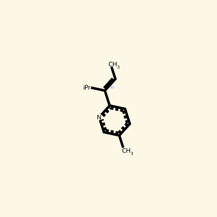 C/C=C(/c1ccc(C)cn1)C(C)C